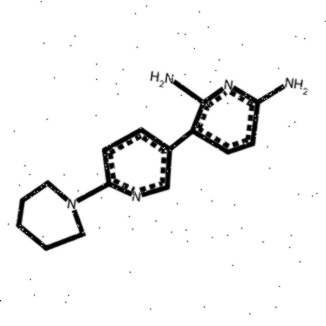 Nc1ccc(-c2ccc(N3CCCCC3)nc2)c(N)n1